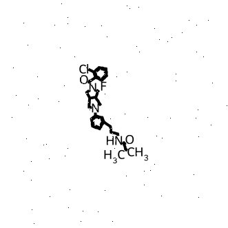 CC(C)C(=O)NCCCc1cccc(N2CC3CN(C(=O)c4c(F)cccc4Cl)CC3C2)c1